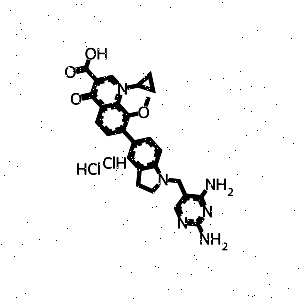 COc1c(-c2ccc3c(c2)CCN3Cc2cnc(N)nc2N)ccc2c(=O)c(C(=O)O)cn(C3CC3)c12.Cl.Cl